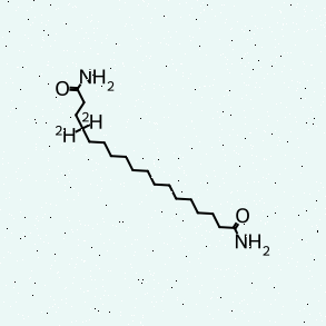 [2H]C([2H])(CCCCCCCCCCCCCC(N)=O)CCC(N)=O